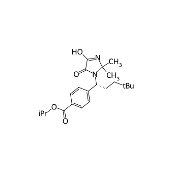 CC(C)OC(=O)c1ccc([C@@H](CCC(C)(C)C)N2C(=O)C(O)=NC2(C)C)cc1